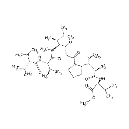 CC[C@H](C)[C@@H]([C@@H](CC(=O)N1CCC[C@H]1[C@H](OC)[C@@H](C)C(=O)N[C@H](C(=O)OC)C(C)C)OC)N(C)C(=O)[C@@H](NC(=O)[C@H](C(C)C)N(C)C)[C@H](C)N